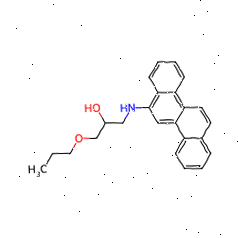 CCCOCC(O)CNc1cc2c3ccccc3ccc2c2ccccc12